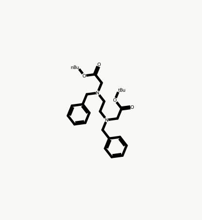 CCCCOC(=O)CN(CCN(CC(=O)OC(C)(C)C)Cc1ccccc1)Cc1ccccc1